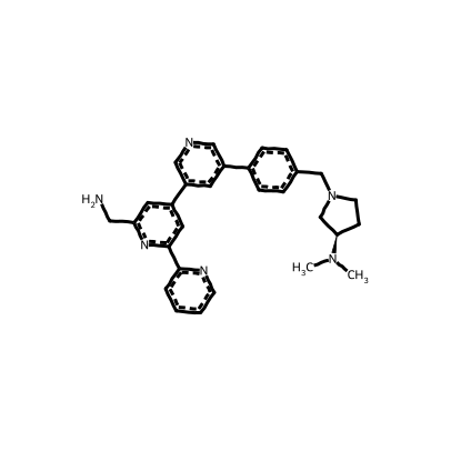 CN(C)[C@@H]1CCN(Cc2ccc(-c3cncc(-c4cc(CN)nc(-c5ccccn5)c4)c3)cc2)C1